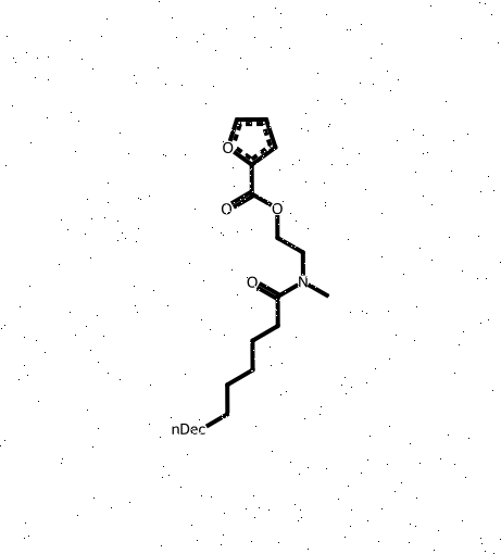 CCCCCCCCCCCCCCCC(=O)N(C)CCOC(=O)c1ccco1